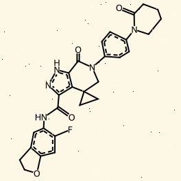 O=C(Nc1cc2c(cc1F)OCC2)c1n[nH]c2c1C1(CC1)CN(c1ccc(N3CCCCC3=O)cc1)C2=O